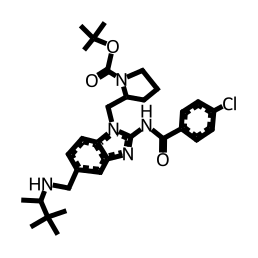 CC(NCc1ccc2c(c1)nc(NC(=O)c1ccc(Cl)cc1)n2CC1CCCN1C(=O)OC(C)(C)C)C(C)(C)C